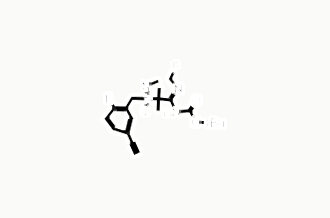 C#Cc1ccc(F)c(CS(=O)(=NC)C(C)(C)/C(=N\CF)NC(=O)OC(C)(C)C)c1